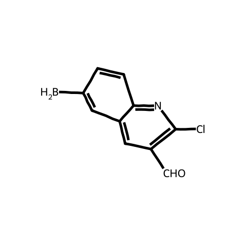 Bc1ccc2nc(Cl)c(C=O)cc2c1